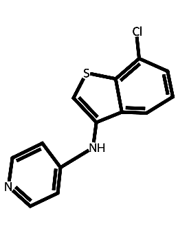 Clc1cccc2c(Nc3ccncc3)csc12